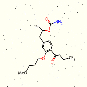 COCCCOc1cc(CC(OC(N)=O)C(C)C)ccc1C(=O)CCC(F)(F)F